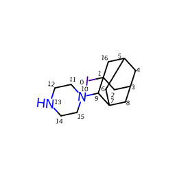 IC12CC3CC(CC(C3)C1N1CCNCC1)C2